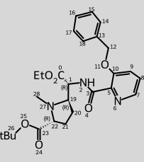 CCOC(=O)[C@H](NC(=O)c1ncccc1OCc1ccccc1)[C@H]1CC[C@H](C(=O)OC(C)(C)C)N1C